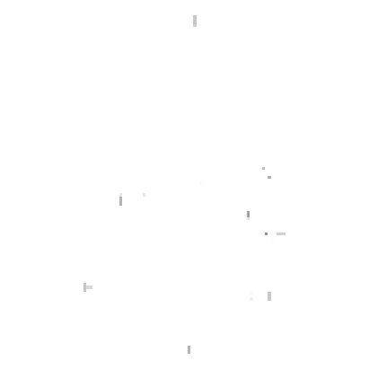 CC1=C(C)C([Si](C)(C)Nc2ccc(Br)cc2)C(C)=C1C